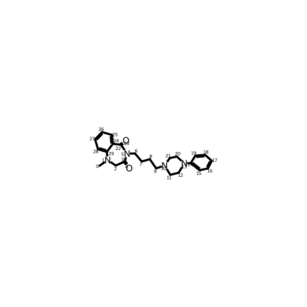 CN1CC(=O)N(CCCCN2CCN(c3ccccc3)CC2)C(=O)c2ccccc21